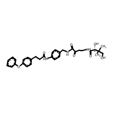 CC(C)(CO)[C@@H](O)C(=O)NCCC(=O)C(=O)NCc1ccc(NC(=O)CCc2ccc(Oc3ccccc3)cc2)cc1